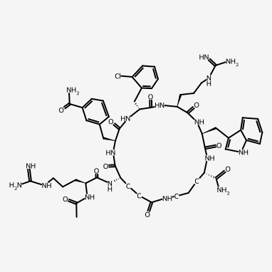 CC(=O)N[C@@H](CCCNC(=N)N)C(=O)N[C@H]1CCC(=O)NCCC[C@@H](C(N)=O)NC(=O)[C@H](Cc2c[nH]c3ccccc23)NC(=O)[C@H](CCCNC(=N)N)NC(=O)[C@@H](Cc2ccccc2Cl)NC(=O)[C@H](Cc2cccc(C(N)=O)c2)NC1=O